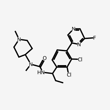 CCC(NC(=O)N(C)C1CCN(C)CC1)c1ccc(-c2cncc(F)n2)c(Cl)c1Cl